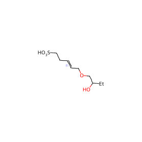 CCC(O)COC/C=C/CCS(=O)(=O)O